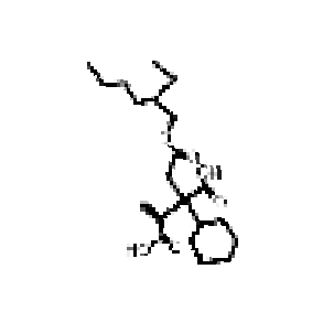 C=C(C(=O)O)C(CC(=O)OCC(CC)CCCC)(C(=O)O)C1CCCCC1